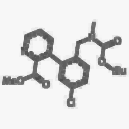 COC(=O)c1ncccc1-c1cc(Cl)ccc1CN(C)C(=O)OC(C)(C)C